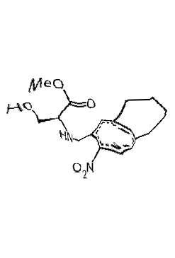 COC(=O)[C@H](CO)Nc1cc2c(cc1[N+](=O)[O-])CCCC2